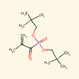 C=C(C)C(=O)P(=O)(OCC(C)(C)C)OCC(C)(C)C